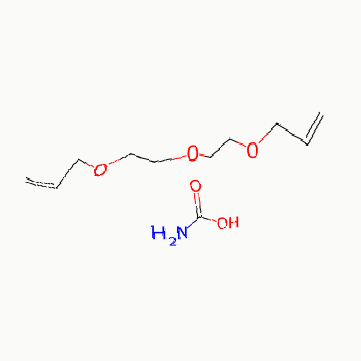 C=CCOCCOCCOCC=C.NC(=O)O